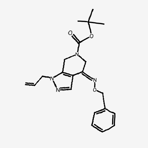 C=CCn1ncc2c1CN(C(=O)OC(C)(C)C)C/C2=N/OCc1ccccc1